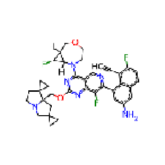 C#Cc1c(F)ccc2cc(N)cc(-c3ncc4c(N5CCOC[C@H]6[C@H](F)[C@H]65)nc(OC[C@@]56CC7(CC7)CN5CCC65CC5)nc4c3F)c12